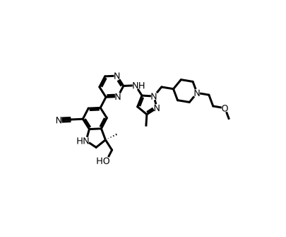 COCCN1CCC(Cn2nc(C)cc2Nc2nccc(-c3cc(C#N)c4c(c3)[C@@](C)(CO)CN4)n2)CC1